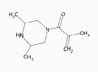 C=C(C)C(=O)N1CC(C)NC(C)C1